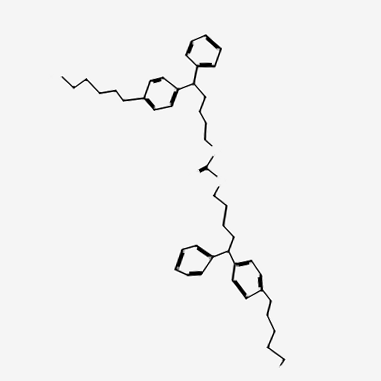 CCCCCCc1ccc(C(CCCCOC(=O)OCCCCC(c2ccccc2)c2ccc(CCCCCC)cc2)c2ccccc2)cc1